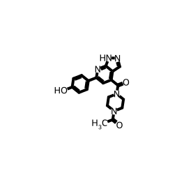 CC(=O)N1CCN(C(=O)c2cc(-c3ccc(O)cc3)nc3[nH]ncc23)CC1